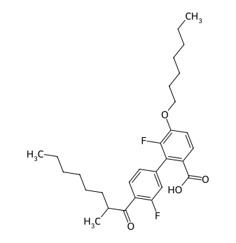 CCCCCCCOc1ccc(C(=O)O)c(-c2ccc(C(=O)C(C)CCCCCC)c(F)c2)c1F